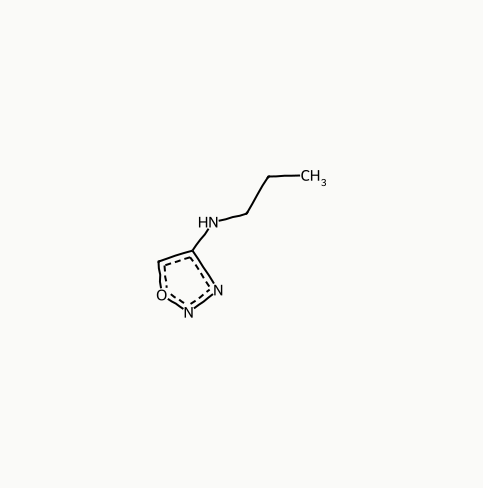 CCCNc1conn1